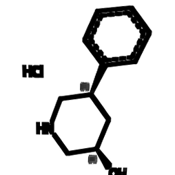 Cl.O[C@H]1CNC[C@@H](c2ccccc2)C1